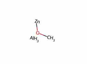 C[O][Zn].[AlH3]